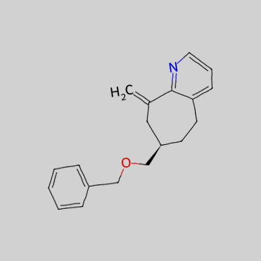 C=C1C[C@H](COCc2ccccc2)CCc2cccnc21